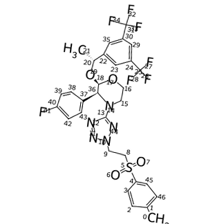 Cc1ccc(S(=O)(=O)CCn2nnc(N3CCO[C@H](O[C@H](C)c4cc(C(F)(F)F)cc(C(F)(F)F)c4)[C@@H]3c3ccc(F)cc3)n2)cc1